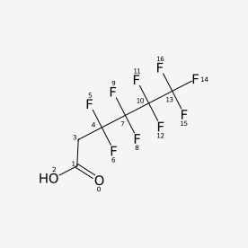 O=C(O)CC(F)(F)C(F)(F)C(F)(F)C(F)(F)F